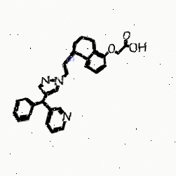 O=C(O)COc1cccc2c1CCC/C2=C/Cn1cc(C(c2ccccc2)c2cccnc2)cn1